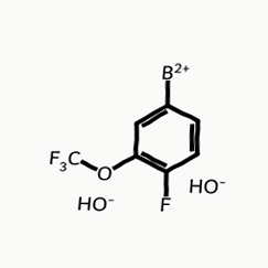 [B+2]c1ccc(F)c(OC(F)(F)F)c1.[OH-].[OH-]